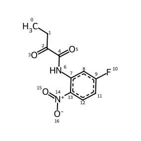 CCC(=O)C(=O)Nc1cc(F)ccc1[N+](=O)[O-]